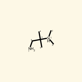 C[SiH](C)C(C)(C)CN